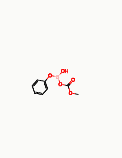 COC(=O)OB(O)Oc1ccccc1